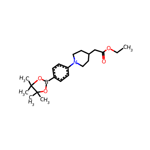 CCOC(=O)CC1CCN(c2ccc(B3OC(C)(C)C(C)(C)O3)cc2)CC1